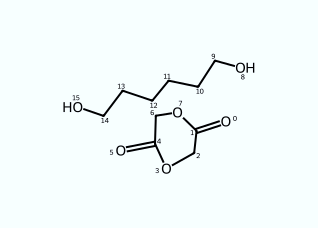 O=C1COC(=O)CO1.OCCCCCCO